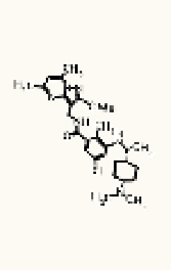 COc1nn2c(C)cc(C)nc2c1CNC(=O)c1cc(Cl)cc(NC(C)[C@H]2CC[C@H](N(C)C)CC2)c1C